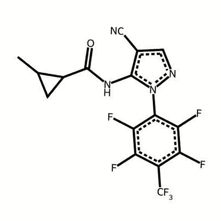 CC1CC1C(=O)Nc1c(C#N)cnn1-c1c(F)c(F)c(C(F)(F)F)c(F)c1F